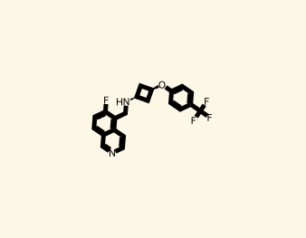 Fc1ccc2cnccc2c1CN[C@H]1C[C@H](Oc2ccc(C(F)(F)F)cc2)C1